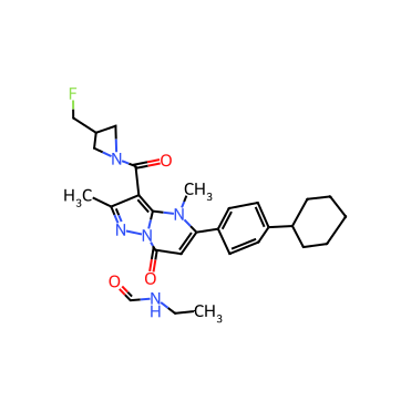 CCNC=O.Cc1nn2c(=O)cc(-c3ccc(C4CCCCC4)cc3)n(C)c2c1C(=O)N1CC(CF)C1